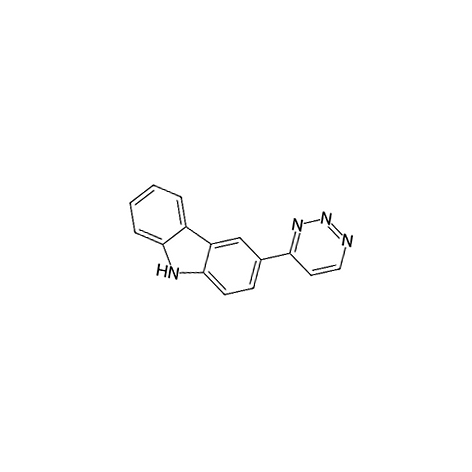 c1ccc2c(c1)[nH]c1ccc(-c3ccnnn3)cc12